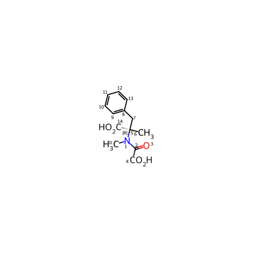 CN(C(=O)C(=O)O)[C@](C)(Cc1ccccc1)C(=O)O